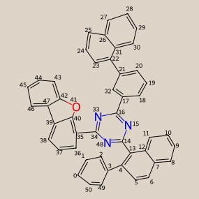 c1ccc(-c2ccc3ccccc3c2-c2nc(-c3cccc(-c4cccc5ccccc45)c3)nc(-c3cccc4c3oc3ccccc34)n2)cc1